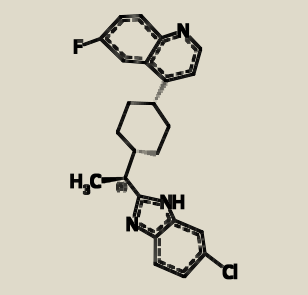 C[C@H](c1nc2ccc(Cl)cc2[nH]1)[C@H]1CC[C@@H](c2ccnc3ccc(F)cc32)CC1